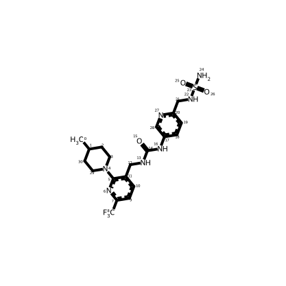 CC1CCN(c2nc(C(F)(F)F)ccc2CNC(=O)Nc2ccc(CNS(N)(=O)=O)nc2)CC1